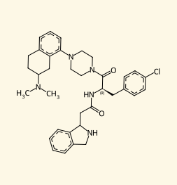 CN(C)C1CCc2cccc(N3CCN(C(=O)[C@@H](Cc4ccc(Cl)cc4)NC(=O)CC4NCc5ccccc54)CC3)c2C1